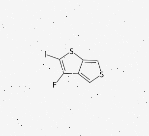 Fc1c(I)sc2cscc12